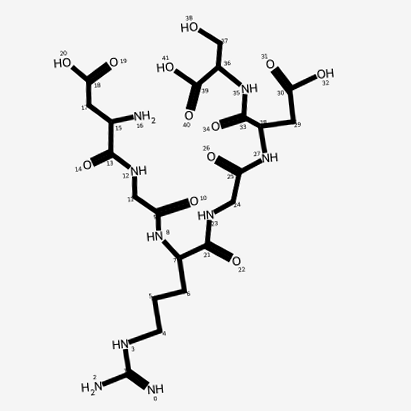 N=C(N)NCCCC(NC(=O)CNC(=O)C(N)CC(=O)O)C(=O)NCC(=O)NC(CC(=O)O)C(=O)NC(CO)C(=O)O